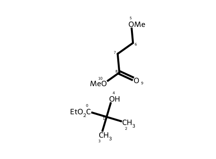 CCOC(=O)C(C)(C)O.COCCC(=O)OC